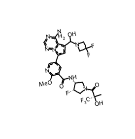 COc1ncc(-c2cc(C(O)N3CC(F)(F)C3)c3c(N)ncnn23)cc1C(=O)N[C@@H]1CN(C(=O)[C@@](C)(O)C(F)(F)F)C[C@@H]1F